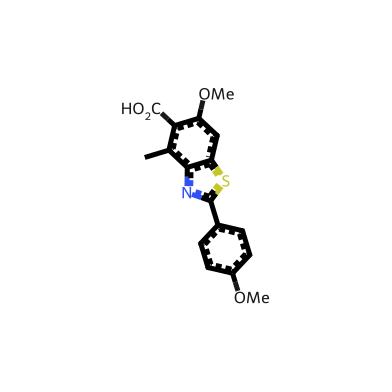 COc1ccc(-c2nc3c(C)c(C(=O)O)c(OC)cc3s2)cc1